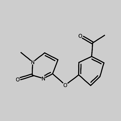 CC(=O)c1cccc(Oc2ccn(C)c(=O)n2)c1